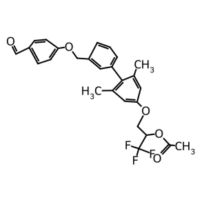 CC(=O)OC(COc1cc(C)c(-c2cccc(COc3ccc(C=O)cc3)c2)c(C)c1)C(F)(F)F